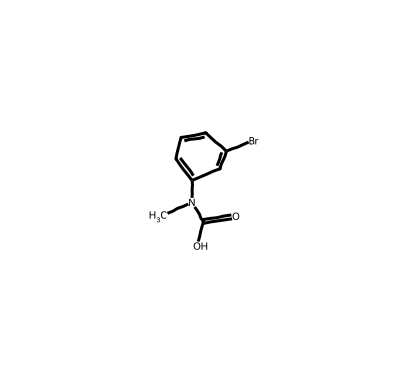 CN(C(=O)O)c1cccc(Br)c1